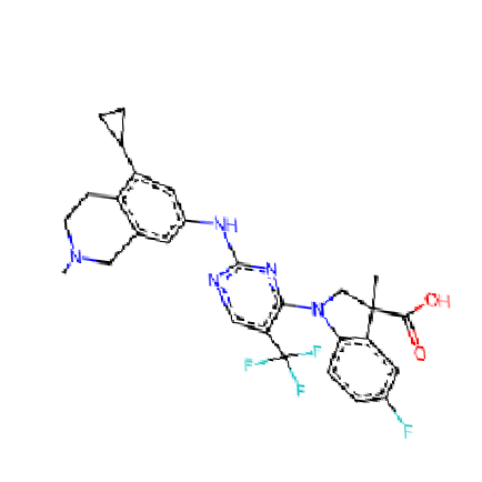 CN1CCc2c(cc(Nc3ncc(C(F)(F)F)c(N4CC(C)(C(=O)O)c5cc(F)ccc54)n3)cc2C2CC2)C1